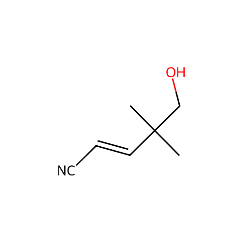 CC(C)(C=CC#N)CO